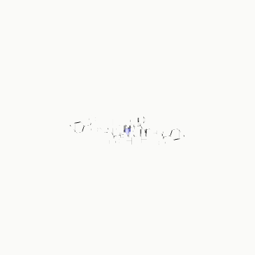 CC(C)(/N=N/C(C)(C)C(=O)NCCOC(=O)c1ccncc1)C(=O)NCCOC(=O)c1ccncc1